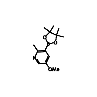 COc1cnc(C)c(B2OC(C)(C)C(C)(C)O2)c1